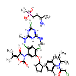 CC(C)=C1OC(=O)N(c2cc(OC3CCCC3)c(Cl)cc2F)C1=O.CCNc1nc(Cl)nc(NC(C)(C)C)n1.CCc1cccc(C)c1N(C(=O)CCl)C(C)COC.CP(=O)(O)CCC(N)C(=O)O